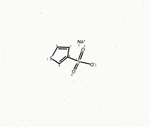 O=S(=O)([O-])c1ccsc1.[Na+]